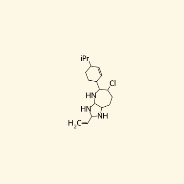 C=CC1NC2CCC(Cl)C(C3C=CC(C(C)C)CC3)NC2N1